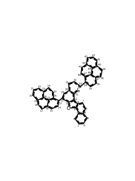 c1ccc2c(c1)ccc1c2oc2c(-c3ccc4ccc5cccc6ccc3c4c56)cc3ccc(-c4ccc5ccc6cccc7ccc4c5c67)cc3c21